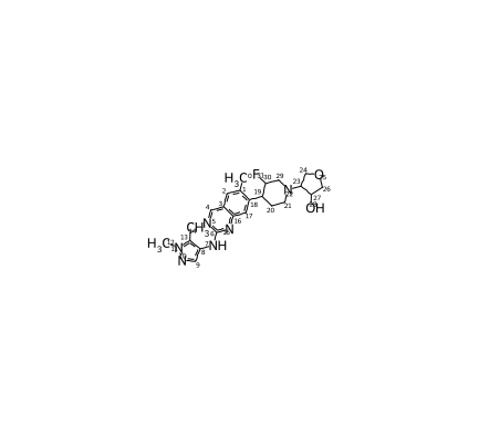 Cc1cc2cnc(Nc3cnn(C)c3C)nc2cc1C1CCN(C2COCC2O)CC1F